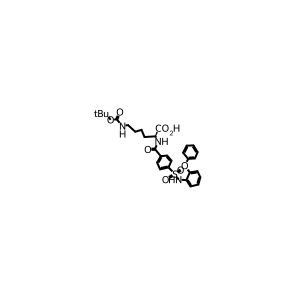 CC(C)(C)OC(=O)NCCCC[C@H](NC(=O)c1ccc(S(=O)(=O)Nc2ccccc2Oc2ccccc2)cc1)C(=O)O